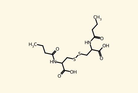 CCCC(=O)NC(CSSCC(NC(=O)CCC)C(=O)O)C(=O)O